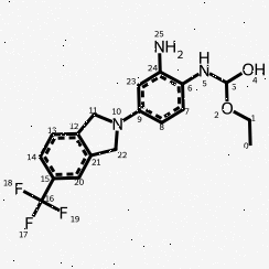 CCOC(O)Nc1ccc(N2Cc3ccc(C(F)(F)F)cc3C2)cc1N